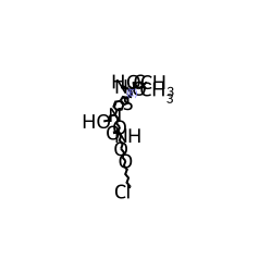 CC(C)(C)OC(=O)/C(C#N)=C/c1cc2ccc(N(CCO)CCOC(=O)NCCOCCOCCCCCCCl)cc2s1